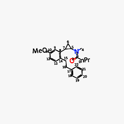 CCCC(=O)N(C)C1CC1c1cc(OC)ccc1CCc1ccccc1